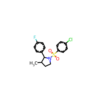 CC1CCN(S(=O)(=O)c2ccc(Cl)cc2)C1c1ccc(F)cc1